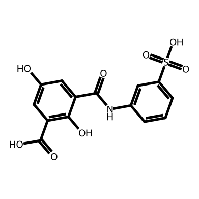 O=C(O)c1cc(O)cc(C(=O)Nc2cccc(S(=O)(=O)O)c2)c1O